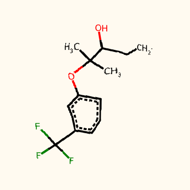 [CH2]CC(O)C(C)(C)Oc1cccc(C(F)(F)F)c1